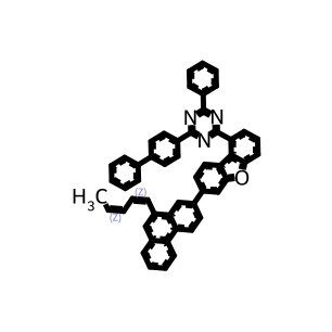 C/C=C\C=C/c1cc2ccccc2c2ccc(-c3ccc4c(c3)oc3cccc(-c5nc(-c6ccccc6)nc(-c6ccc(-c7ccccc7)cc6)n5)c34)cc12